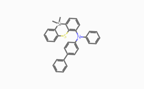 C[Si]1(C)c2ccccc2Sc2c(N(c3ccccc3)c3ccc(-c4ccccc4)cc3)cccc21